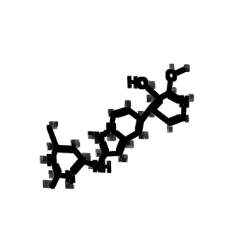 COc1nccc(-c2ccn3nc(Nc4cc(C)nc(C)n4)cc3c2)c1O